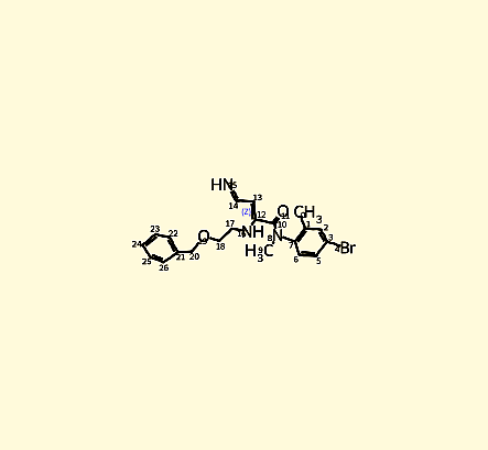 Cc1cc(Br)ccc1N(C)C(=O)/C(=C/C=N)NCCOCc1ccccc1